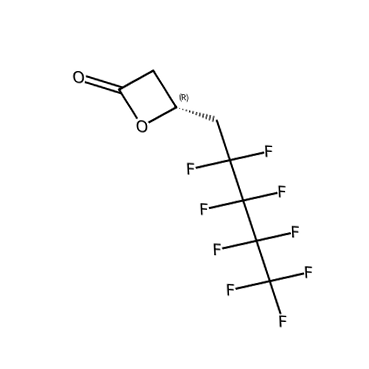 O=C1C[C@H](CC(F)(F)C(F)(F)C(F)(F)C(F)(F)F)O1